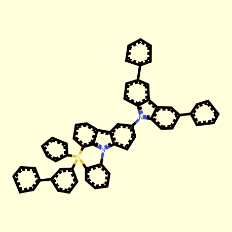 c1ccc(-c2cccc(S3(c4ccccc4)c4ccccc4-n4c5ccc(-n6c7ccc(-c8ccccc8)cc7c7cc(-c8ccccc8)ccc76)cc5c5cccc3c54)c2)cc1